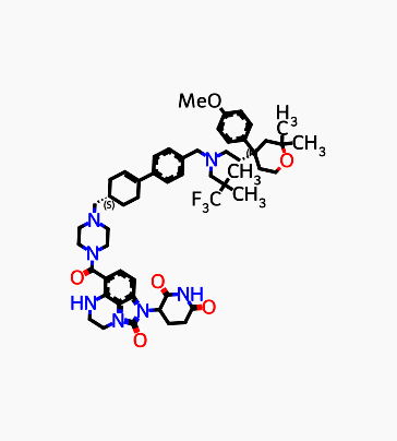 COc1ccc([C@]2(CCN(Cc3ccc(C4=CC[C@@H](CN5CCN(C(=O)c6ccc7c8c6NCCn8c(=O)n7C6CCC(=O)NC6=O)CC5)CC4)cc3)CC(C)(C)C(F)(F)F)CCOC(C)(C)C2)cc1